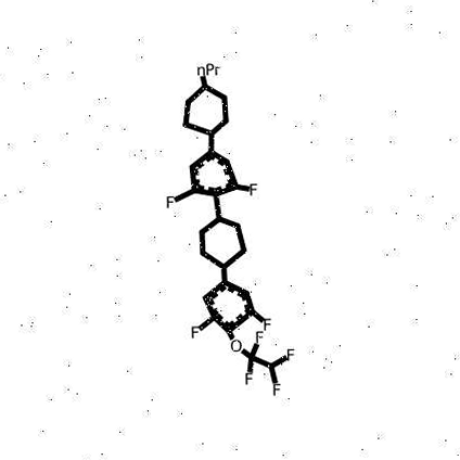 CCCC1CCC(c2cc(F)c(C3CCC(c4cc(F)c(OC(F)(F)C(F)F)c(F)c4)CC3)c(F)c2)CC1